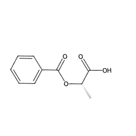 C[C@H](OC(=O)c1ccccc1)C(=O)O